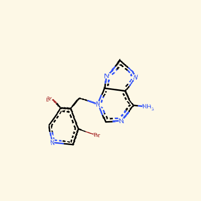 Nc1ncn(Cc2c(Br)cncc2Br)c2ncnc1-2